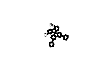 Clc1ccc2c(c1)C(c1ccc(-c3ccccc3)cc1)(c1ccc(-c3ccccc3)cc1)c1cccc(Br)c1-2